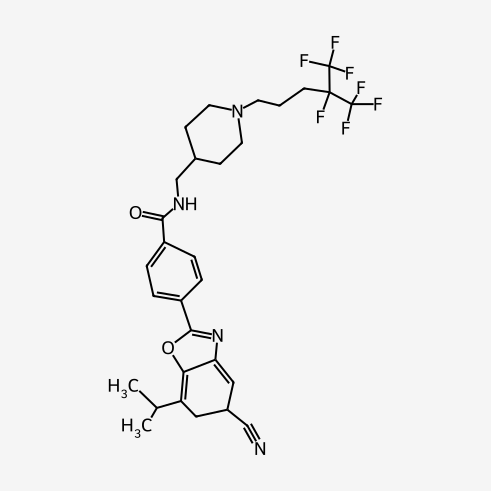 CC(C)C1=c2oc(-c3ccc(C(=O)NCC4CCN(CCCC(F)(C(F)(F)F)C(F)(F)F)CC4)cc3)nc2=CC(C#N)C1